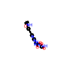 CC1(C)CC(C)(C)C1NC(=O)c1ccc(C#CC2CCN(C3CCN(c4cnc5c(n4)C(=O)N(C4CCC(=O)NC4=O)C5=O)CC3)CC2)cc1